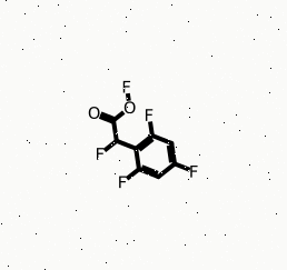 O=C(OF)C(F)c1c(F)cc(F)cc1F